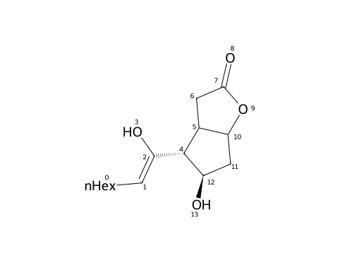 CCCCCC/C=C(\O)[C@@H]1C2CC(=O)OC2C[C@H]1O